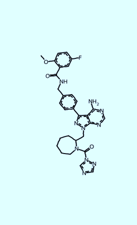 COc1ccc(F)cc1C(=O)NCc1ccc(-c2nn(CC3CCCCCN3C(=O)n3cncn3)c3ncnc(N)c23)cc1